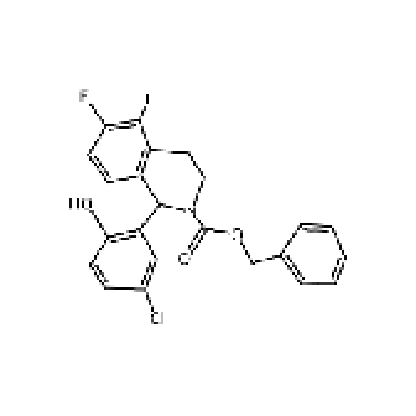 O=C(OCc1ccccc1)N1CCc2c(ccc(F)c2F)C1c1cc(Cl)ccc1O